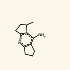 CC1CCc2nc3c(c(N)c21)CCC3